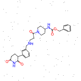 O=C1CCC(c2cccc(CNCCC(=O)N3CCC(NC(=O)OCc4ccccc4)CC3)c2)C(=O)N1